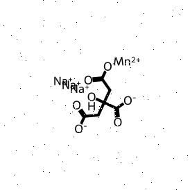 O=C([O-])CC(O)(CC(=O)[O-])C(=O)[O-].[Mn+2].[Na+].[Na+].[Na+]